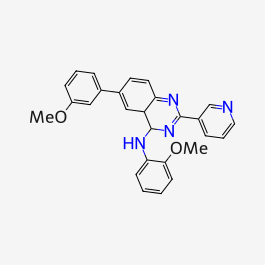 COc1cccc(C2=CC3C(=NC(c4cccnc4)=NC3Nc3ccccc3OC)C=C2)c1